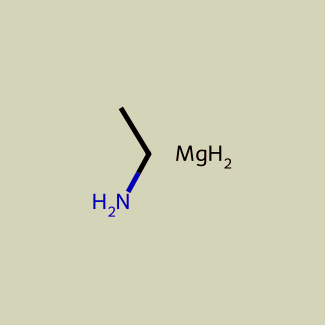 CCN.[MgH2]